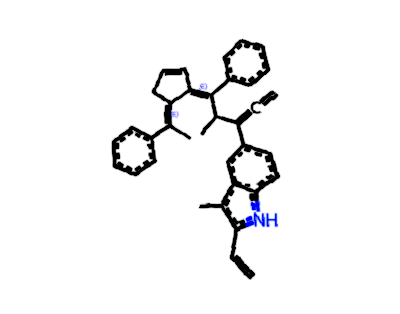 C=C=C(c1ccc2[nH]c(C=C)c(C)c2c1)C(C)/C(=C1/C=CC/C1=C(/C)c1ccccc1)c1ccccc1